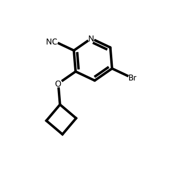 N#Cc1ncc(Br)cc1OC1CCC1